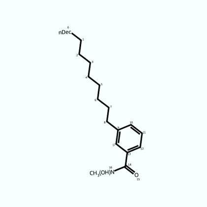 CCCCCCCCCCCCCCCCCCc1cccc(C(=O)N(C)O)c1